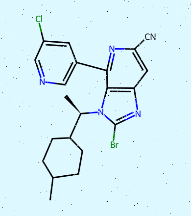 CC1CCC([C@@H](C)n2c(Br)nc3cc(C#N)nc(-c4cncc(Cl)c4)c32)CC1